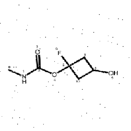 CNC(=O)OC1(F)CC(O)C1